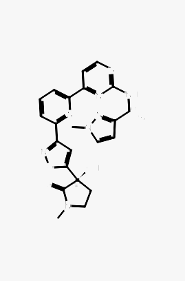 C[C@@H](Nc1nccc(-c2cccc(-c3cc([C@]4(O)CCN(C)C4=O)on3)n2)n1)c1ccn(C)n1